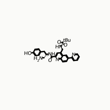 CC(C)(C)S(=O)(=O)NCc1cc(C(=O)N[C@H](CN)Cc2ccc(O)cc2)nc2ccc(-c3ccccn3)cc12